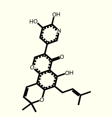 CC(C)=CCc1c2c(c3occ(-c4cnc(O)c(O)c4)c(=O)c3c1O)C=CC(C)(C)O2